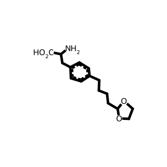 NC(Cc1ccc(CCCCC2OCCO2)cc1)C(=O)O